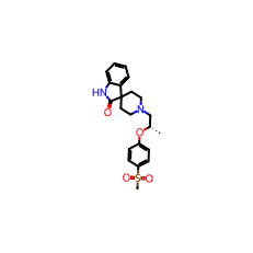 C[C@@H](CN1CCC2(CC1)C(=O)Nc1ccccc12)Oc1ccc(S(C)(=O)=O)cc1